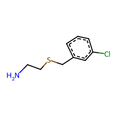 NCCSCc1cccc(Cl)c1